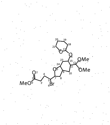 COC(=O)CCC(Br)C1CC2CC(C(OC)OC)C(OC3CCCCO3)CC2O1